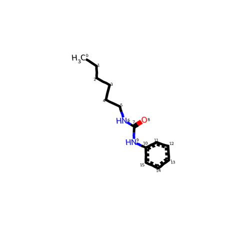 CCCCCCNC(=O)Nc1cc[c]cc1